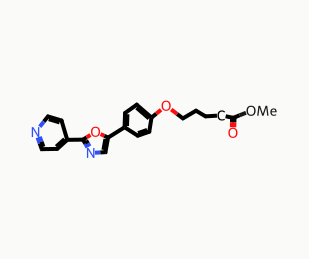 COC(=O)CCCCOc1ccc(-c2cnc(-c3ccncc3)o2)cc1